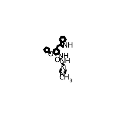 CN1CCN(CCNC(=O)Nc2cc(Cc3c[nH]c4ccccc34)cc(OC3CCCC3)c2)CC1